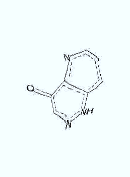 O=c1cn[nH]c2cccnc12